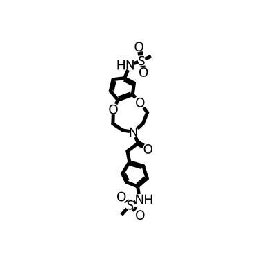 CS(=O)(=O)Nc1ccc(CC(=O)N2CCOc3ccc(NS(C)(=O)=O)cc3OCC2)cc1